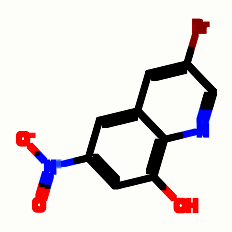 O=[N+]([O-])c1cc(O)c2ncc(Br)cc2c1